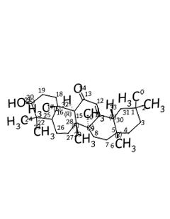 CC1(C)CC[C@]2(C)CC[C@]3(C)C(=CC(=O)[C@@H]4[C@@]5(C)CC[C@H](O)C(C)(C)C5CC[C@]43C)[C@@H]2C1